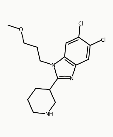 COCCCn1c(C2CCCNC2)nc2cc(Cl)c(Cl)cc21